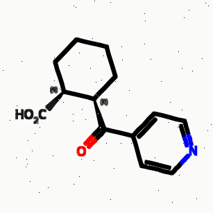 O=C(O)[C@H]1CCCC[C@H]1C(=O)c1ccncc1